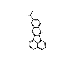 CC(C)c1ccc2nc3c(nc2c1)-c1cccc2cccc-3c12